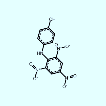 O=[N+]([O-])c1cc([N+](=O)[O-])c(Nc2ccc(O)cc2)c([N+](=O)[O-])c1